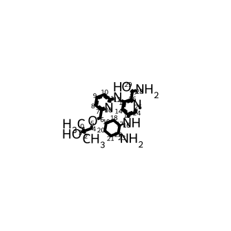 CC(C)(O)COCc1cccc(Nc2cc(N[C@@H]3CCCC[C@@H]3N)cnc2C(N)=O)n1